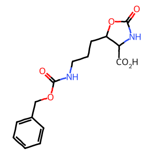 O=C(NCCCC1OC(=O)NC1C(=O)O)OCc1ccccc1